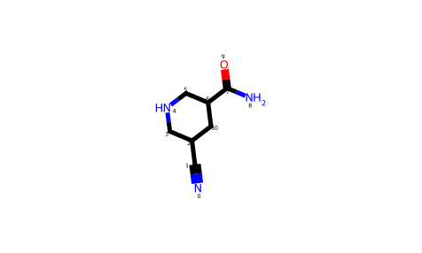 N#CC1CNCC(C(N)=O)C1